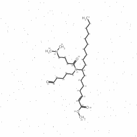 CCCCCCCCCCC(CCCCC=CC(=O)OC)N(CCCCC=O)C(=O)CCCN(C)C